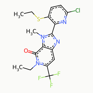 CCSc1ccc(Cl)nc1-c1nc2cc(C(F)(F)F)n(CC)c(=O)c2n1C